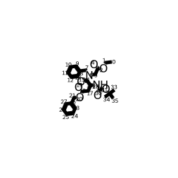 CCOC(=O)CN(Cc1ccccc1)C(=O)C(CC(=O)OCc1ccccc1)NC(=O)OC(C)(C)C